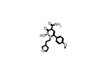 COc1ccc(C2=CC(C(N)=O)C(=O)N(O)N2CCC2CCOC2)cc1